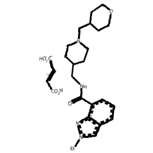 CCn1cc2cccc(C(=O)NCC3CCN(CC4CCOCC4)CC3)c2n1.O=C(O)/C=C/C(=O)O